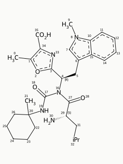 Cc1oc([C@@H](Cc2cn(C)c3ccccc23)N(C(=O)NC2(C)CCCCC2)C(=O)[C@@H](N)CC(C)C)nc1C(=O)O